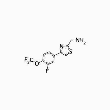 NCc1nc(-c2ccc(OC(F)(F)F)c(F)c2)cs1